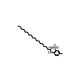 CCCCCCCCCCCCCCCCCC1Nc2ccc(C)cc2S(=O)(=O)N1